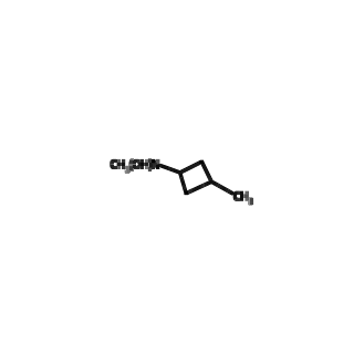 CC1CC(N(C)O)C1